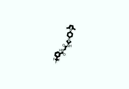 Cc1ccc(C)n1C1CCC(N2CC(NC(=O)CNC(=O)c3cccc(C(F)(F)F)c3)C2)CC1